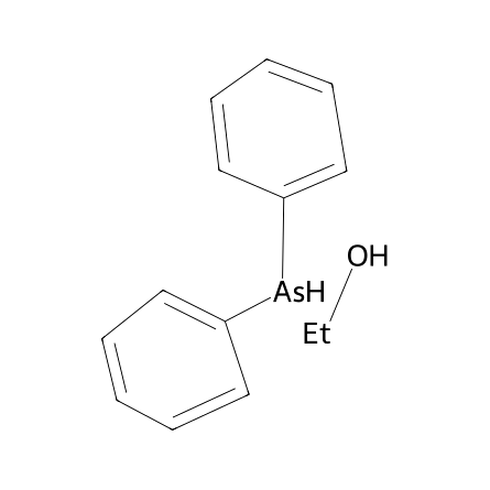 CCO.c1ccc([AsH]c2ccccc2)cc1